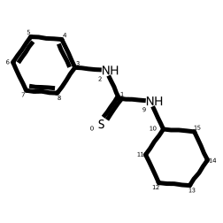 S=C(Nc1ccccc1)NC1CCCCC1